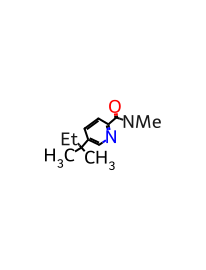 CCC(C)(C)c1ccc(C(=O)NC)nc1